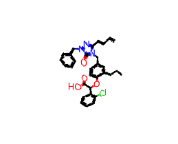 CCCCc1nn(Cc2ccccc2)c(=O)n1Cc1ccc(OC(C(=O)O)c2ccccc2Cl)c(CCC)c1